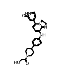 O=C(CO)N1CCC(c2ccc(NC3=CC=C(c4cc[nH]c(=O)c4)N4CCN=C34)cc2)CC1